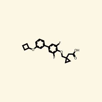 O=C(O)CC1(COc2c(F)cc(-c3cccc(OC4CCC4)c3)cc2F)CC1